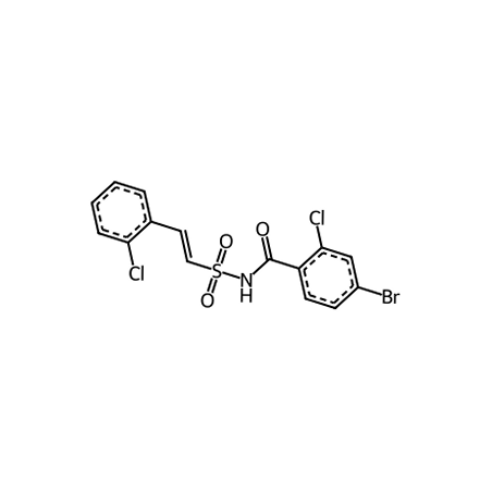 O=C(NS(=O)(=O)C=Cc1ccccc1Cl)c1ccc(Br)cc1Cl